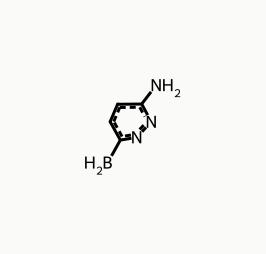 Bc1ccc(N)nn1